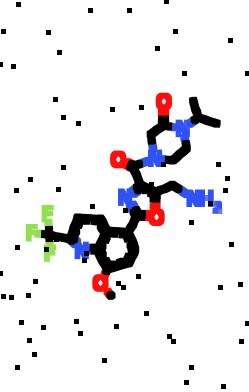 COc1ccc(-c2nc(C(=O)N3CCN(C(C)C)C(=O)C3)c(CN)o2)c2ccc(C(F)(F)F)nc12